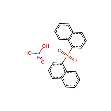 O=S(=O)(c1cccc2ccccc12)c1cccc2ccccc12.O=[PH](O)O